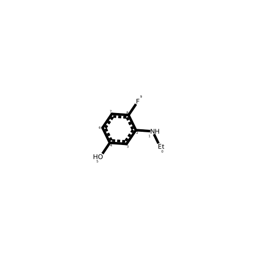 CCNc1cc(O)ccc1F